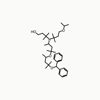 CC(C)OCCC(C)(C)N(C(C)CC(C)(C)OC(C)CC(C)(C)OC(c1ccccc1)c1ccccc1)C(C)(C)CCO